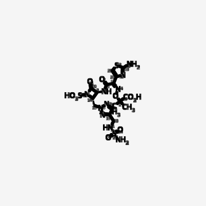 CC(C)(ON=C(C(=O)N[C@@H]1C(=O)N(S(=O)(=O)O)[C@H]1Cn1ncc(CNS(N)(=O)=O)n1)c1csc(N)n1)C(=O)O